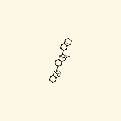 c1ccc2c(c1)C1CSC2C(c2ccc3c(c2)C2CC(c4ccc5c(c4)C4CCC5CC4)C3CN2)C1